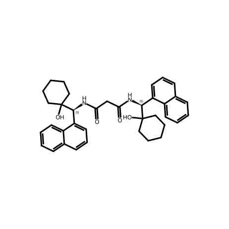 O=C(CC(=O)N[C@@H](c1cccc2ccccc12)C1(O)CCCCC1)N[C@@H](c1cccc2ccccc12)C1(O)CCCCC1